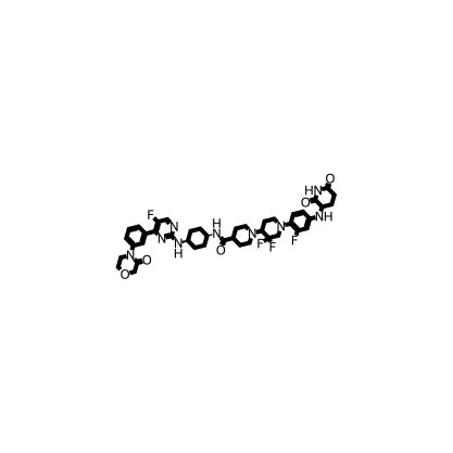 O=C1CCC(Nc2ccc(N3CCC(N4CCC(C(=O)N[C@H]5CC[C@H](Nc6ncc(F)c(-c7cccc(N8CCOCC8=O)c7)n6)CC5)CC4)C(F)(F)C3)c(F)c2)C(=O)N1